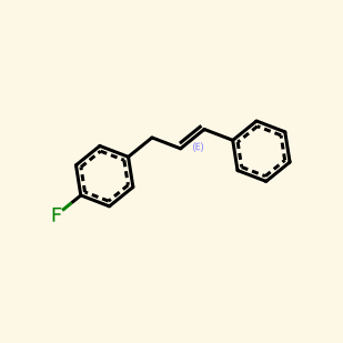 Fc1ccc(C/C=C/c2ccccc2)cc1